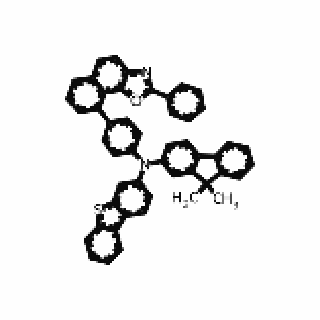 CC1(C)c2ccccc2-c2ccc(N(c3ccc(-c4cccc5ccc6nc(-c7ccccc7)oc6c45)cc3)c3ccc4c(c3)sc3ccccc34)cc21